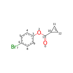 O=C(Oc1ccc(Br)cc1)C1C=C1